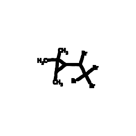 CC1C(C(Br)C(Br)(Br)Br)C1(C)C